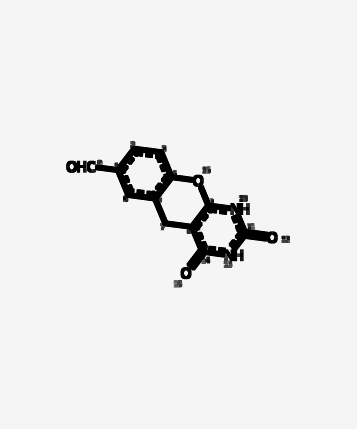 O=Cc1ccc2c(c1)Cc1c([nH]c(=O)[nH]c1=O)O2